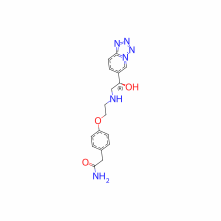 NC(=O)Cc1ccc(OCCNC[C@H](O)c2ccc3nnnn3c2)cc1